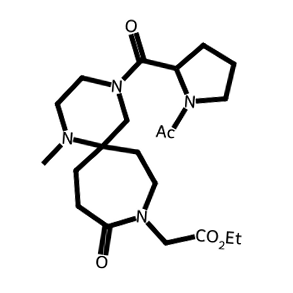 CCOC(=O)CN1CCC2(CCC1=O)CN(C(=O)C1CCCN1C(C)=O)CCN2C